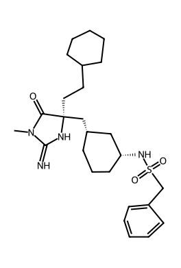 CN1C(=N)N[C@](CCC2CCCCC2)(C[C@H]2CCC[C@@H](NS(=O)(=O)Cc3ccccc3)C2)C1=O